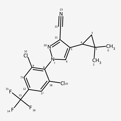 CC1(C)CC1c1cn(-c2c(Cl)cc(C(F)(F)F)cc2Cl)nc1C#N